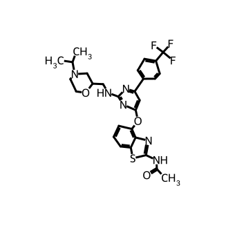 CC(=O)Nc1nc2c(Oc3cc(-c4ccc(C(F)(F)F)cc4)nc(NCC4CN(C(C)C)CCO4)n3)cccc2s1